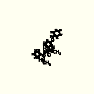 CNC[C@H](NC(=O)c1c(C)nc2c(OCC3CCCCC3)cccn12)c1ccccc1